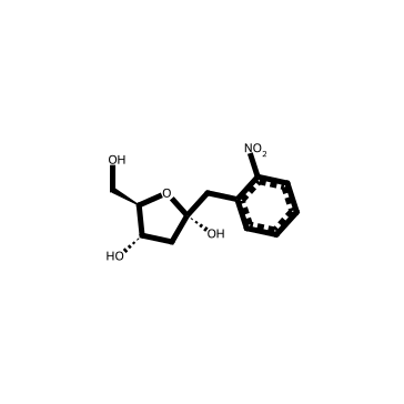 O=[N+]([O-])c1ccccc1C[C@@]1(O)C[C@H](O)[C@@H](CO)O1